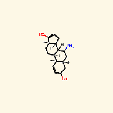 C[C@]12C=CC(O)C[C@H]1C[C@H](N)[C@@H]1[C@@H]2CC[C@]2(C)C(O)=CC[C@@H]12